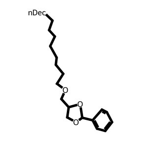 CCCCCCCCCCCCCCCCCCOCC1COC(c2ccccc2)O1